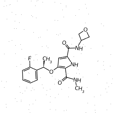 CNC(=O)c1[nH]c(C(=O)NC2COC2)cc1O[C@H](C)c1ccccc1F